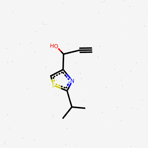 C#CC(O)c1csc(C(C)C)n1